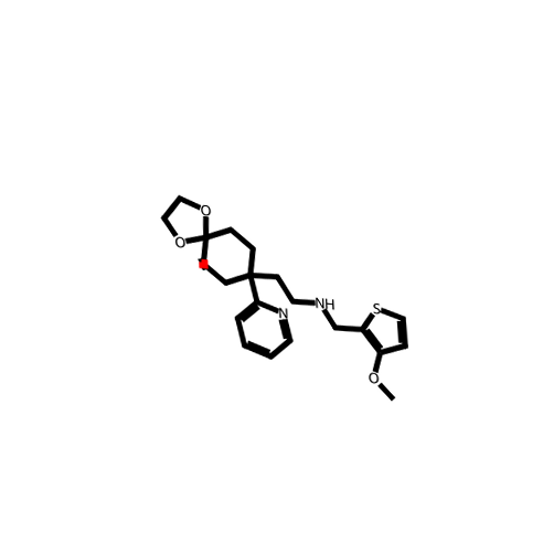 COc1ccsc1CNCCC1(c2ccccn2)CCC2(OCCO2)C2(CCCC2)C1